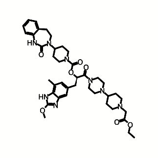 CCOC(=O)CN1CCC(N2CCN(C(=O)[C@@H](Cc3cc(C)c4[nH]c(OC)nc4c3)OC(=O)N3CCC(N4CCc5ccccc5NC4=O)CC3)CC2)CC1